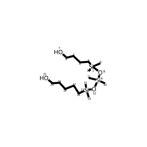 C[Si](C)(CCCCO)O[Si](C)(C)O[Si](C)(C)CCCCCO